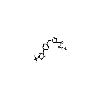 CNC(=O)c1cnn(Cc2ccc(-c3noc(C(F)(F)F)n3)cc2)c1